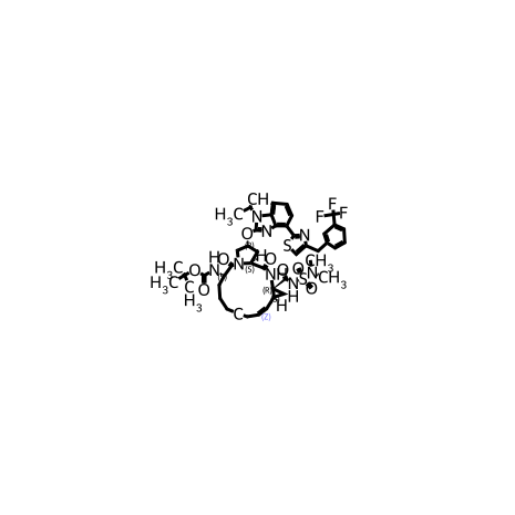 CC(C)n1c(O[C@@H]2C[C@H]3C(=O)N[C@]4(C(=O)NS(=O)(=O)N(C)C)C[C@H]4/C=C\CCCCC[C@H](NC(=O)OC(C)(C)C)C(=O)N3C2)nc2c(-c3nc(Cc4cccc(C(F)(F)F)c4)cs3)cccc21